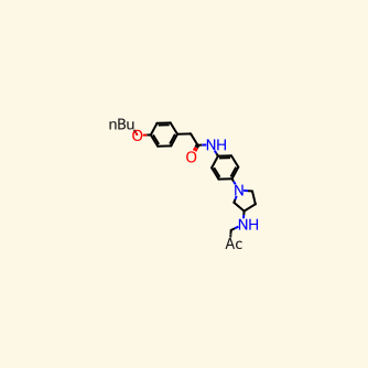 CCCCOc1ccc(CC(=O)Nc2ccc(N3CCC(NCC(C)=O)C3)cc2)cc1